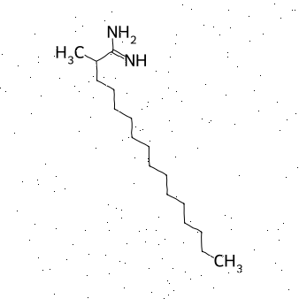 CCCCCCCCCCCCCCC(C)C(=N)N